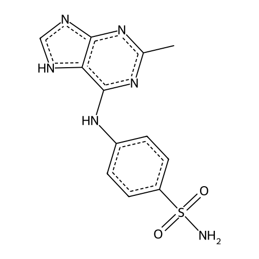 Cc1nc(Nc2ccc(S(N)(=O)=O)cc2)c2[nH]cnc2n1